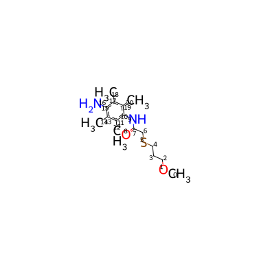 COCCCSCC(=O)Nc1c(C)c(C)c(N)c(C)c1C